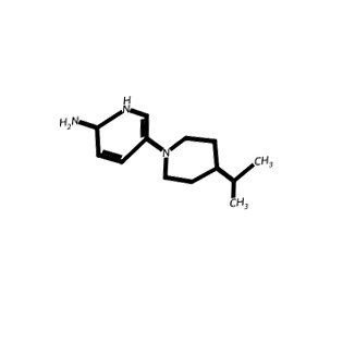 CC(C)C1CCN(C2=CNC(N)C=C2)CC1